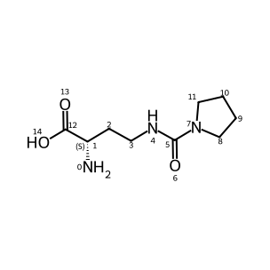 N[C@@H](CCNC(=O)N1CCCC1)C(=O)O